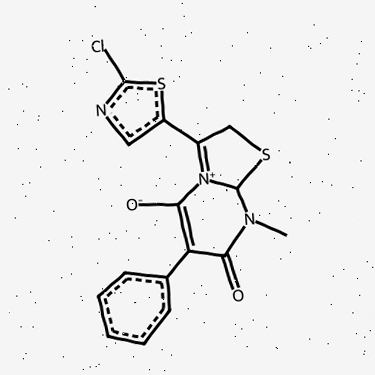 CN1C(=O)C(c2ccccc2)=C([O-])[N+]2=C(c3cnc(Cl)s3)CSC12